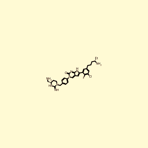 CC[C@H](N)CCCc1cc(Cl)c(F)c(-c2cc3cn(-c4ccc(CN5CC[C@H](CN)NC5=N)cc4)c(=O)nc3[nH]2)c1